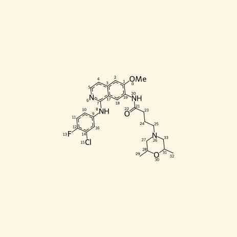 COc1cc2ccnc(Nc3ccc(F)c(Cl)c3)c2cc1NC(=O)CCCN1CC(C)OC(C)C1